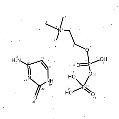 C[N+](C)(C)CCOP(=O)(O)OP(=O)(O)O.Nc1cc[nH]c(=O)n1